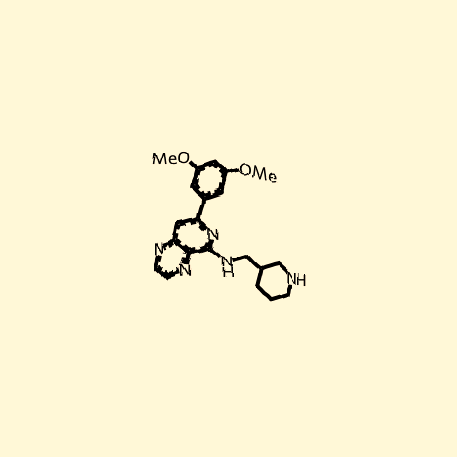 COc1cc(OC)cc(-c2cc3nccnc3c(NCC3CCCNC3)n2)c1